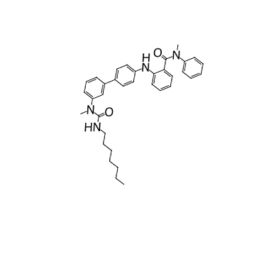 CCCCCCCNC(=O)N(C)c1cccc(-c2ccc(Nc3ccccc3C(=O)N(C)c3ccccc3)cc2)c1